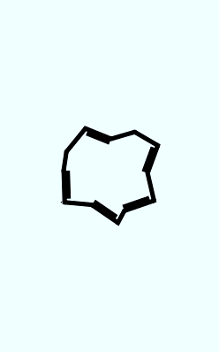 [C]1=C\C/C=C/C/C=C/C=C/C=C/1